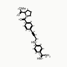 COC(=O)C1CCCN1C(=O)c1ccc(C#CCNc2ccc(C(=N)N)cc2)cc1